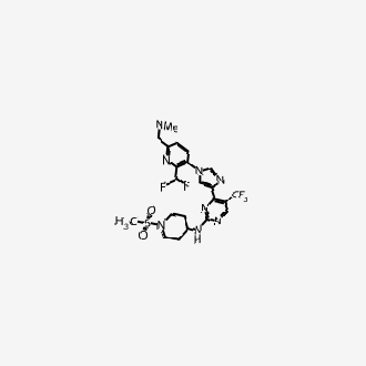 CNCc1ccc(-n2cnc(-c3nc(NC4CCN(S(C)(=O)=O)CC4)ncc3C(F)(F)F)c2)c(C(F)F)n1